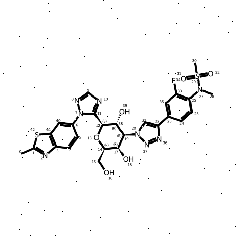 Cc1nc2ccc(-n3ncnc3[C@@H]3O[C@H](CO)[C@H](O)[C@H](n4cc(-c5ccc(N(C)S(C)(=O)=O)c(F)c5)nn4)[C@H]3O)cc2s1